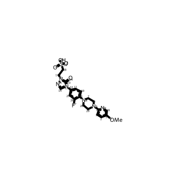 COc1ccc(N2CCN(c3ccc(-n4cnn(CCS(C)(=O)=O)c4=O)cc3F)CC2)nc1